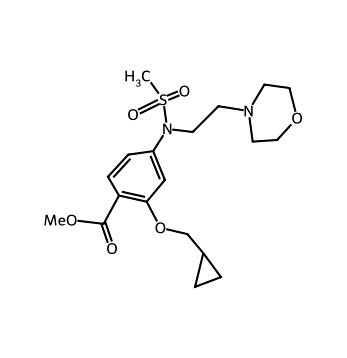 COC(=O)c1ccc(N(CCN2CCOCC2)S(C)(=O)=O)cc1OCC1CC1